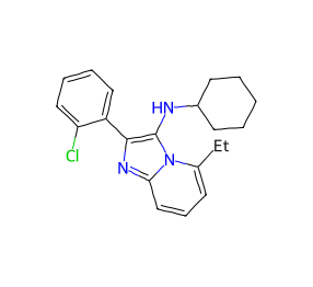 CCc1cccc2nc(-c3ccccc3Cl)c(NC3CCCCC3)n12